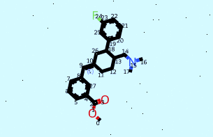 COC(=O)c1cccc(/C=C2\CCC(CN(C)C)C(c3cccc(F)c3)C2)c1